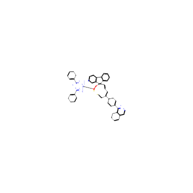 C1=CCCC(C2=NC(C3=CCCC=C3)=NC(C3=CC4S/C=C/C(C5C=CC(c6nccc7c6CCC=C7)=CC5)=C\C=C\C5(c6ccccc6-c6ccccc65)C4C=C3)N2)=C1